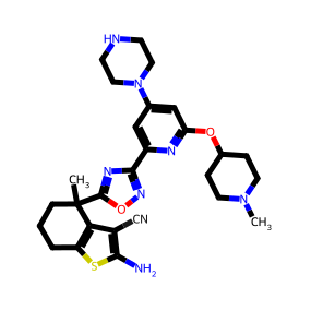 CN1CCC(Oc2cc(N3CCNCC3)cc(-c3noc(C4(C)CCCc5sc(N)c(C#N)c54)n3)n2)CC1